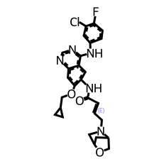 O=C(/C=C/CN1CC2CC1CO2)Nc1cc2c(Nc3ccc(F)c(Cl)c3)ncnc2cc1OCC1CC1